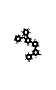 Cc1cc(-c2ccccc2)cc(-c2cccc(-c3ccc4c(c3)c3ccccc3n4-c3ccccc3)c2)c1